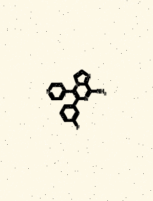 Nc1nc(-c2cccc(F)c2)c(-c2ccncc2)n2ccnc12